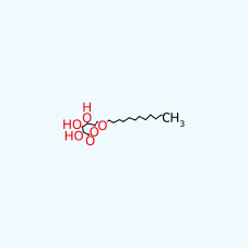 CCCCCCCCCCCCOC[C@H]1OC(=O)[C@H](O)[C@@H](O)[C@@H]1O